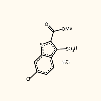 COC(=O)c1sc2cc(Cl)ccc2c1S(=O)(=O)O.Cl